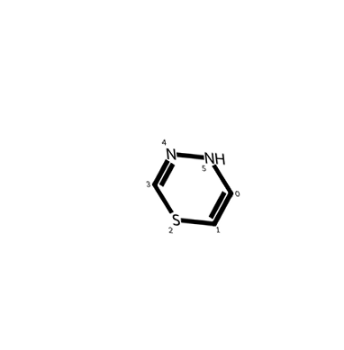 [C]1=CSC=NN1